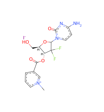 C[n+]1cccc(C(=O)O[C@@H]2[C@@H](CO)OC(n3ccc(N)nc3=O)C2(F)F)c1.[I-]